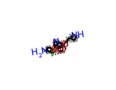 Nc1ccc(Oc2ccnc3cc(OCCCC4CCCNC4)c4c(c23)OCCO4)c(F)c1